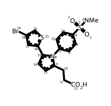 CNS(=O)(=O)c1ccc(-n2c(CCC(=O)O)ccc2-c2cc(Br)cs2)cc1